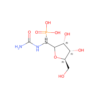 NC(=O)N[SiH](C1O[C@H](CO)[C@@H](O)[C@H]1O)P(=O)(O)O